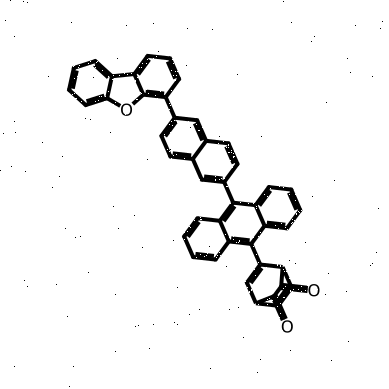 O=C1C(=O)C2C=CC1C=C2c1c2ccccc2c(-c2ccc3cc(-c4cccc5c4oc4ccccc45)ccc3c2)c2ccccc12